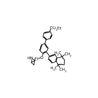 C1C2NC12.CCOC(=O)c1ccc(-c2ccc(OCC)c(-c3ccc4c(c3)C(C)(C)CCC4(C)C)c2)cc1